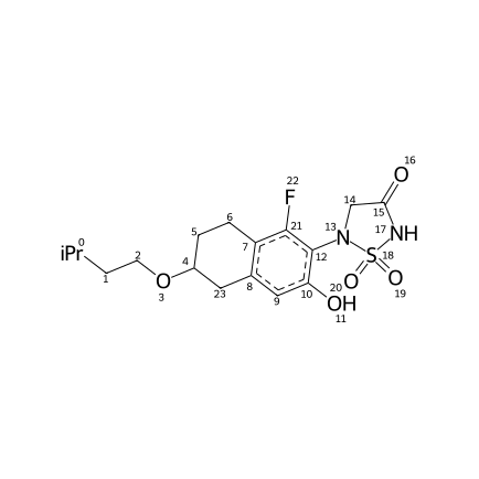 CC(C)CCOC1CCc2c(cc(O)c(N3CC(=O)NS3(=O)=O)c2F)C1